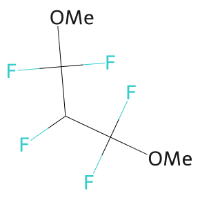 COC(F)(F)C(F)C(F)(F)OC